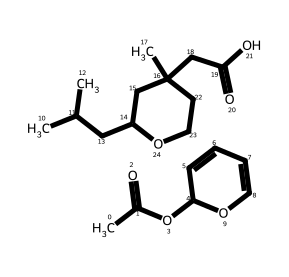 CC(=O)OC1C=CC=CO1.CC(C)CC1CC(C)(CC(=O)O)CCO1